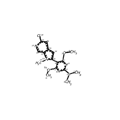 COc1nc(N(C)C)nc(OC)c1-c1cc2cc(Cl)ncc2n1C